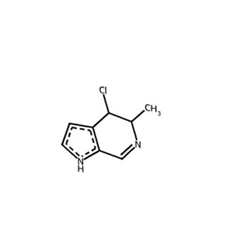 CC1N=Cc2[nH]ccc2C1Cl